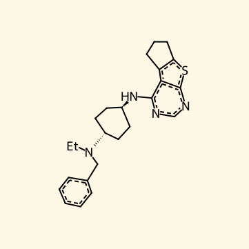 CCN(Cc1ccccc1)[C@H]1CC[C@H](Nc2ncnc3sc4c(c23)CCC4)CC1